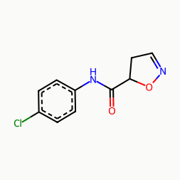 O=C(Nc1ccc(Cl)cc1)C1CC=NO1